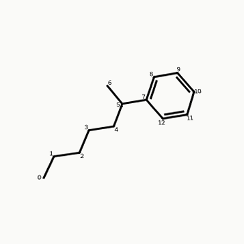 CCCCC[C](C)c1ccccc1